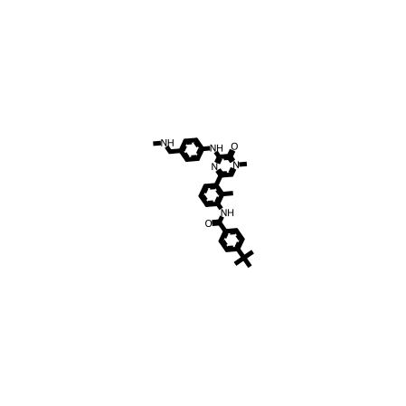 CNCc1ccc(Nc2nc(-c3cccc(NC(=O)c4ccc(C(C)(C)C)cc4)c3C)cn(C)c2=O)cc1